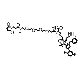 CC(C)(C)C(c1cc(-c2cc(F)ccc2F)cn1Cc1ccccc1)N(CCCN)C(=O)CSCC(NC(=O)CCOCCOCCOCCOCCNC(=O)CCN1C(=O)C=CC1=O)C(=O)O